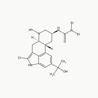 CCCN1C[C@@H](NC(=O)N(CC)CC)C[C@@H]2c3cc(C(C)(C)O)cc4[nH]c(Cl)c(c34)C[C@H]21